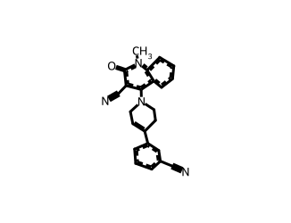 Cn1c(=O)c(C#N)c(N2CC=C(c3cccc(C#N)c3)CC2)c2ccccc21